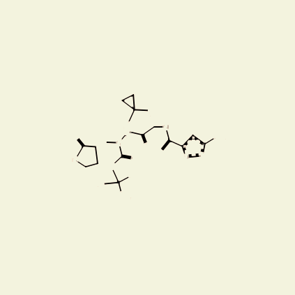 Cc1cc(C(=O)N[C@@H](CC2(C)CC2)C(=O)NN(C[C@@H]2CCNC2=O)C(=O)OC(C)(C)C)no1